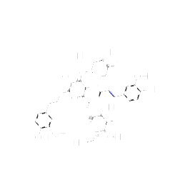 C[C@@H]1O[C@@H](O[C@@H]2[C@@H](O)[C@H](OCCc3ccc(O)c(O)c3)O[C@H](CO[C@@H]3O[C@H](CO)[C@@H](O)[C@H](O)[C@H]3O)[C@H]2OC(=O)/C=C/c2ccc(O)c(O)c2)C(O)[C@H](O)[C@H]1O